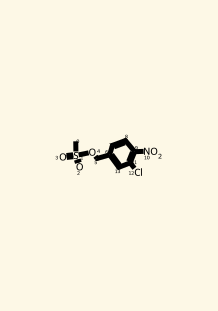 CS(=O)(=O)OCc1ccc([N+](=O)[O-])c(Cl)c1